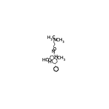 C[C@H]1C[C@H](c2ccccc2)C[C@H]2[C@H]1[C@@H](/C=N/OCCCN(C)C)C[C@@H]2O